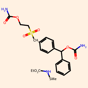 CCOC(=O)NSC.CS(=O)(=O)CCOC(N)=O.NC(=O)OC(c1ccccc1)c1ccccc1